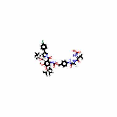 COc1cc(C(=O)N2C=C(c3ccc(F)cc3)C[C@H]2CO[Si](C)(C)C(C)(C)C)c(NC(=O)OCc2ccc(NC(=O)[C@H](C)NC(=O)[C@@H](NC(=O)O)C(C)C)cc2)cc1O[Si](C(C)C)(C(C)C)C(C)C